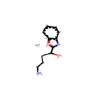 Cl.NCCCC(O)c1nc2ccccc2o1